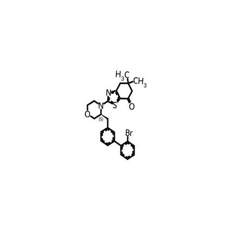 CC1(C)CC(=O)c2sc(N3CCOC[C@@H]3Cc3cccc(-c4ccccc4Br)c3)nc2C1